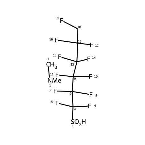 CNC.O=S(=O)(O)C(F)(F)C(F)(F)C(F)(F)C(F)(F)C(F)(F)CF